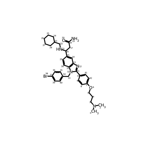 CN(C)CCCOc1ccc(-c2nc3cc(C(CC(N)=O)NCC4CCCCC4)ccc3n2Cc2ccc(Br)cc2)cc1